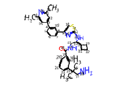 Cc1cc(-c2cccc(-c3csc(NC(CNC(=O)c4cccc(C(C)(C)CN)c4)=C4CCC4)n3)c2)cc(C)n1